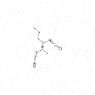 CCCC(N=C=O)=C(C)N=C=O